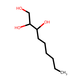 CCCCCCC(O)C(O)CO